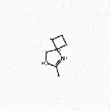 CC1=NC2(CCC2)CO1